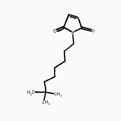 CC(C)(C)CCCCCCN1C(=O)C=CC1=O